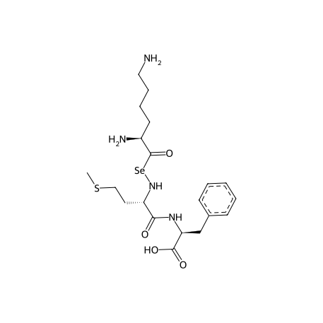 CSCC[C@H](N[Se]C(=O)[C@@H](N)CCCCN)C(=O)N[C@@H](Cc1ccccc1)C(=O)O